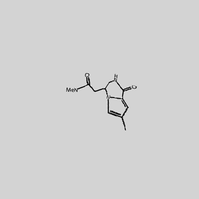 CNC(=O)CC1CNC(=O)c2cc(C)cn21